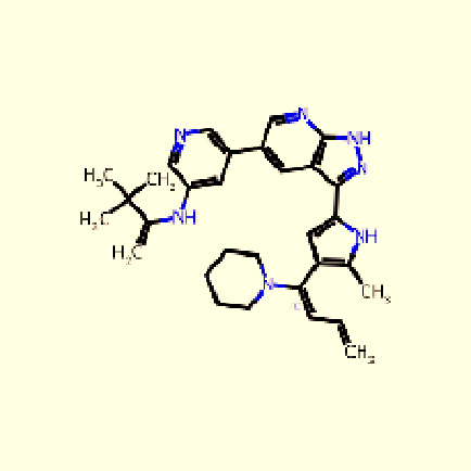 C=C/C=C(\c1cc(-c2n[nH]c3ncc(-c4cncc(NC(=C)C(C)(C)C)c4)cc23)[nH]c1C)N1CCCCC1